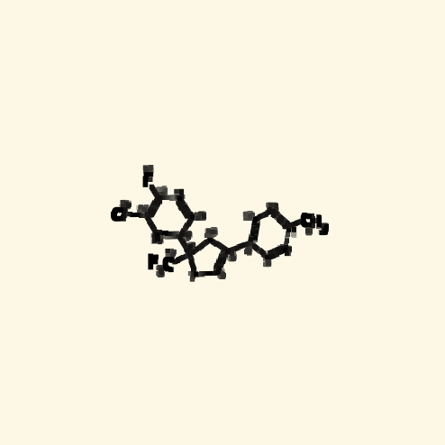 Cc1ccc(C2=CCC(c3ccc(F)c(Cl)c3)(C(F)(F)F)C2)cc1